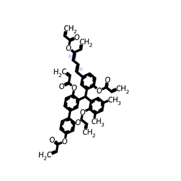 C=CC(=O)O/C(C=C)=C/C=C/c1ccc(OC(=O)C=C)c(C(c2cc(-c3ccc(OC(=O)C=C)cc3)ccc2OC(=O)C=C)c2cc(C)cc(C)c2OC(=O)C=C)c1